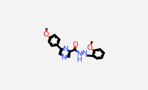 COc1ccc(-c2cncc(C(=O)N/N=C/c3ccccc3OC)n2)cc1